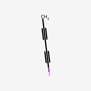 CC#CC#CI